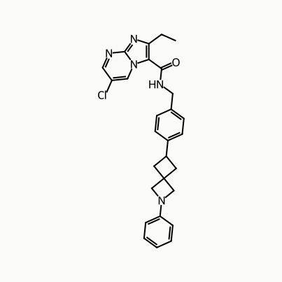 CCc1nc2ncc(Cl)cn2c1C(=O)NCc1ccc(C2CC3(C2)CN(c2ccccc2)C3)cc1